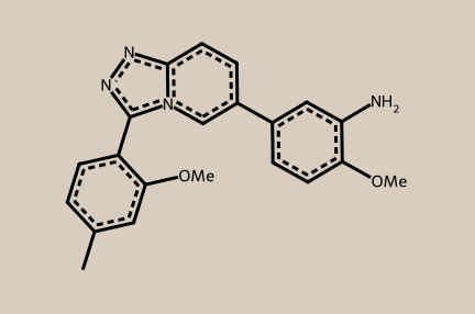 COc1ccc(-c2ccc3nnc(-c4ccc(C)cc4OC)n3c2)cc1N